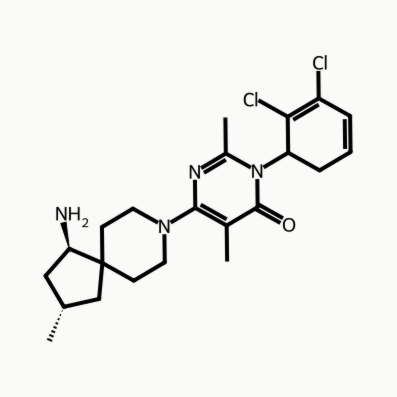 Cc1c(N2CCC3(CC2)C[C@H](C)C[C@H]3N)nc(C)n(C2CC=CC(Cl)=C2Cl)c1=O